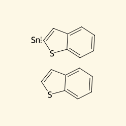 [Sn].c1ccc2sccc2c1.c1ccc2sccc2c1